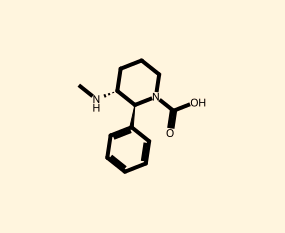 CN[C@@H]1CCCN(C(=O)O)[C@H]1c1ccccc1